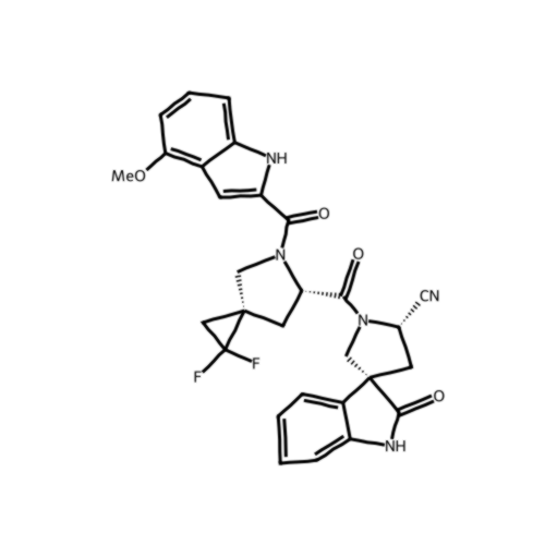 COc1cccc2[nH]c(C(=O)N3C[C@@]4(C[C@H]3C(=O)N3C[C@]5(C[C@H]3C#N)C(=O)Nc3ccccc35)CC4(F)F)cc12